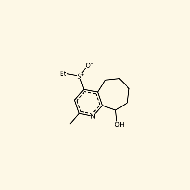 CC[S+]([O-])c1cc(C)nc2c1CCCCC2O